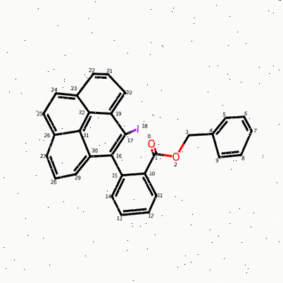 O=C(OCc1ccccc1)c1ccccc1-c1c(I)c2cccc3ccc4cccc1c4c32